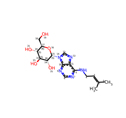 CC(C)=CCNc1ncnc2c1ncn2[C@H]1O[C@H](CO)[C@@H](O)[C@H](O)[C@H]1O